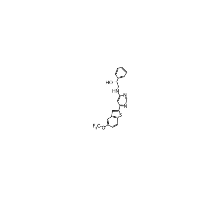 O[C@@H](CNc1cc(-c2cc3cc(OC(F)(F)F)ccc3s2)ncn1)c1ccccc1